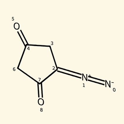 [N-]=[N+]=C1CC(=O)CC1=O